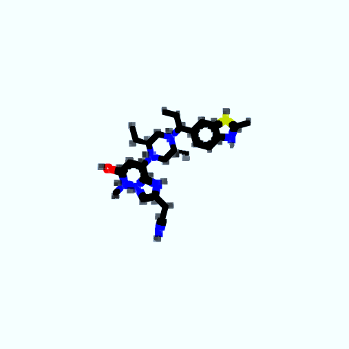 CCC(c1ccc2nc(C)sc2c1)N1C[C@H](CC)N(c2cc(=O)n(C)n3cc(CC#N)nc23)C[C@H]1C